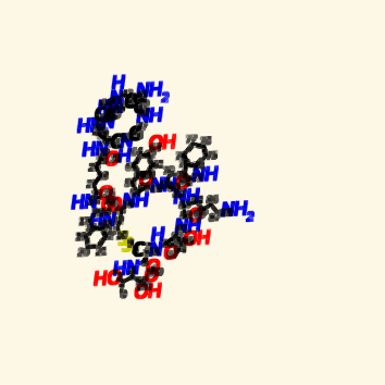 CC(O)C(NC(=O)C1CSSC[C@H](NC(=O)C(Cc2ccccc2)NC(=O)CCCC(=O)N[C@]23CNCCNC[C@](N)(CNCCNC2)CNCCNC3)C(=O)NC(Cc2ccc(O)cc2)C(=O)NC(Cc2c[nH]c3ccccc23)C(=O)NC(CCCCN)C(=O)NC(C(C)O)C(=O)N1)C(=O)O